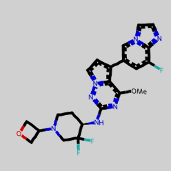 COc1nc(N[C@@H]2CCN(C3COC3)CC2(F)F)nn2ccc(-c3cc(F)c4nccn4c3)c12